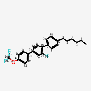 CCCCCCc1ccc(-c2ccc(-c3ccc(OC(F)F)cc3)cc2F)cc1